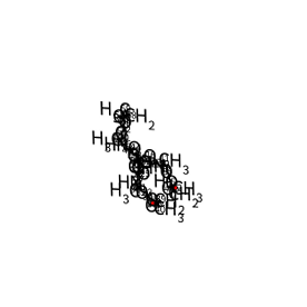 C=C(C)C(=O)OCCOCC(C)NCCC(=O)OCC(CO)(COC(=O)CCNC(C)COCCOC(=O)C(=C)C)COC(=O)CCNC(C)COCCOC(=O)C(=C)C